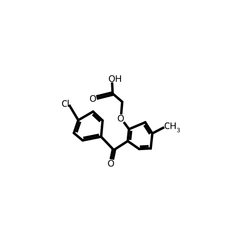 Cc1ccc(C(=O)c2ccc(Cl)cc2)c(OCC(=O)O)c1